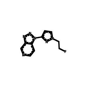 FCCn1ccc(-n2nnc3cnccc32)n1